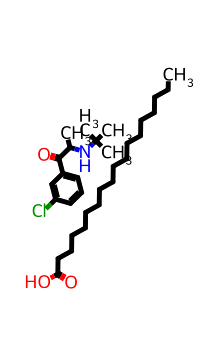 CC(NC(C)(C)C)C(=O)c1cccc(Cl)c1.CCCCCCCCCCCCCCCCCC(=O)O